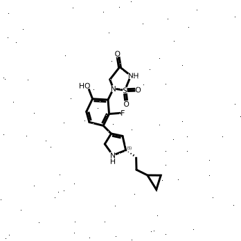 O=C1CN(c2c(O)ccc(C3=C[C@H](CCC4CC4)NC3)c2F)S(=O)(=O)N1